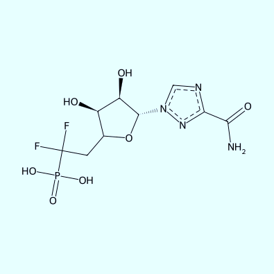 NC(=O)c1ncn([C@@H]2OC(CC(F)(F)P(=O)(O)O)[C@@H](O)[C@H]2O)n1